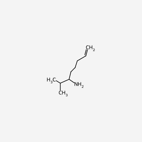 C=CCCCC(N)C(C)C